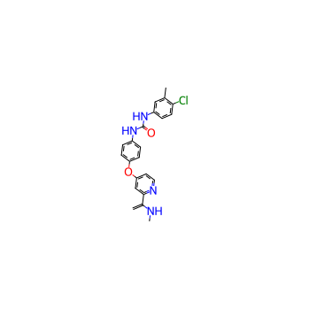 C=C(NC)c1cc(Oc2ccc(NC(=O)Nc3ccc(Cl)c(C)c3)cc2)ccn1